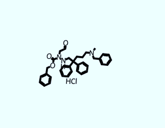 CN(CCCC(CNN(CC=O)C(=O)OCc1ccccc1)(c1ccccc1)c1ccccc1)Cc1ccccc1.Cl